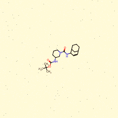 CC(C)(C)OC(=O)N[C@H]1CCCN(C(=O)NC2C=CC3CCCC2C3)C1